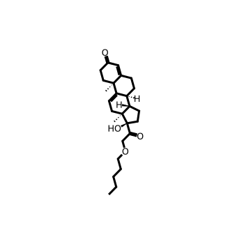 CCCCCOCC(=O)[C@@]1(O)CC[C@H]2[C@@H]3CCC4=CC(=O)CC[C@]4(C)C3=CC[C@@]21C